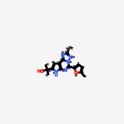 Cc1ccc(-c2nc3[nH]c(C(C)(C)O)cc3c3nc(C(C)C)nn23)o1